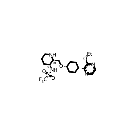 CCOc1nccnc1[C@H]1CC[C@@H](OC[C@@H]2NCCC[C@@H]2NS(=O)(=O)C(F)(F)F)CC1